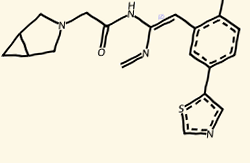 C=N/C(=C\c1cc(-c2cncs2)ccc1C)NC(=O)CN1CC2CC2C1